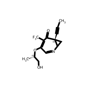 CC#C[C@@]12CC1N=CC(O[C@@H](C)CO)=C(C(F)(F)F)C2=O